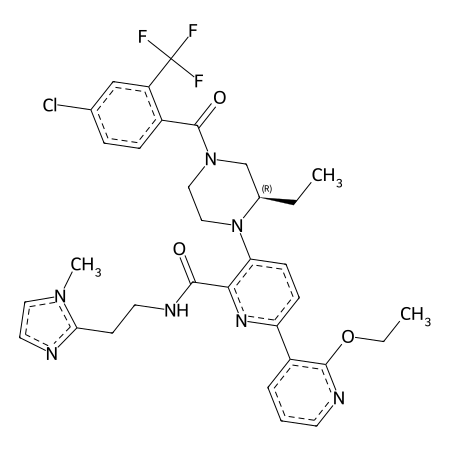 CCOc1ncccc1-c1ccc(N2CCN(C(=O)c3ccc(Cl)cc3C(F)(F)F)C[C@H]2CC)c(C(=O)NCCc2nccn2C)n1